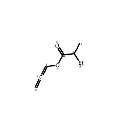 C=C=COC(=O)C(C)CC